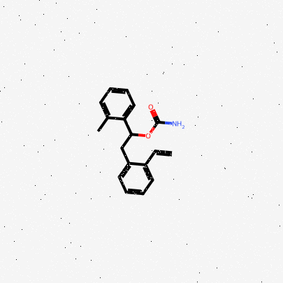 C=Cc1ccccc1CC(OC(N)=O)c1ccccc1C